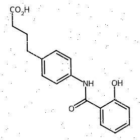 O=C(O)CCCc1ccc(NC(=O)c2ccccc2O)cc1